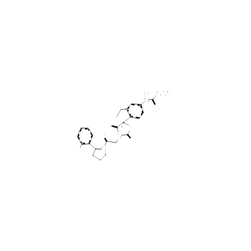 CNC(=O)Nc1ccc2c(c1)CC[C@@]21OC(=O)N(CC(=O)N2CCCC2c2ccccc2F)C1=O